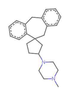 CN1CCN(C2CCC3(Cc4ccccc4Cc4ccccc43)C2)CC1